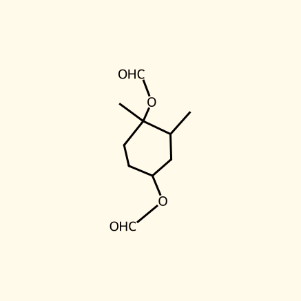 CC1CC(OC=O)CCC1(C)OC=O